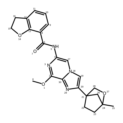 COc1nc(NC(=O)c2cccc3c2OCC3)cn2cc(C34CCC(C)(C3)OC4)nc12